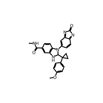 CNC(=O)c1ccc2c(c1)NC(C1(c3ccc(OC)cc3)CC1)N2c1ccc2c(c1)=NC(=O)N=2